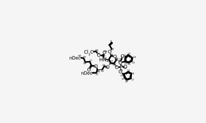 C=CCO[C@H]1O[C@H](CO)[C@@H](OP(=O)(Oc2ccccc2)Oc2ccccc2)[C@H](OCC[C@@H](CCCCCCCCCCC)OC(=O)CCCCCCCCCCCCC)[C@H]1NC(=O)OCC(Cl)(Cl)Cl